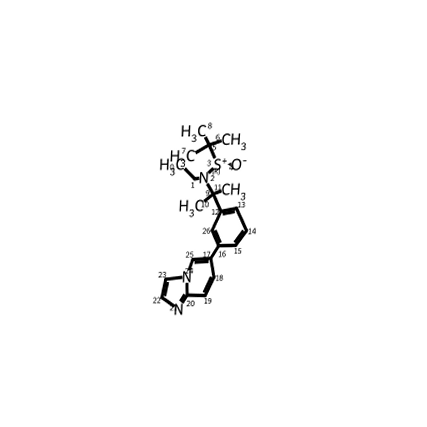 CCN([S@@+]([O-])C(C)(C)C)C(C)(C)c1cccc(-c2ccc3nccn3c2)c1